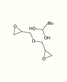 C(OCC1CO1)C1CO1.CCC(C)C(O)O